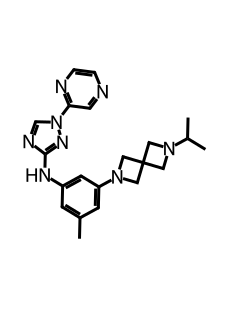 Cc1cc(Nc2ncn(-c3cnccn3)n2)cc(N2CC3(C2)CN(C(C)C)C3)c1